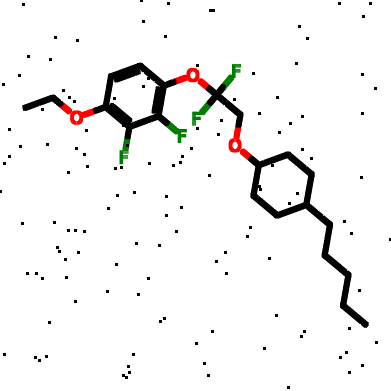 CCCCCC1CCC(OCC(F)(F)Oc2ccc(OCC)c(F)c2F)CC1